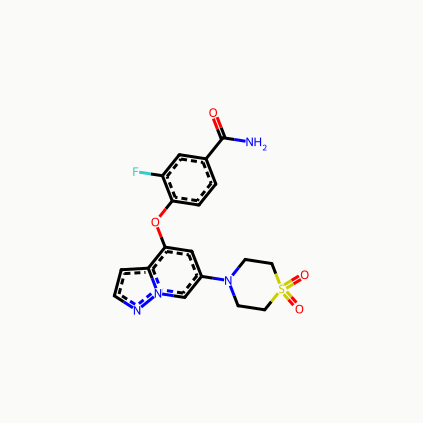 NC(=O)c1ccc(Oc2cc(N3CCS(=O)(=O)CC3)cn3nccc23)c(F)c1